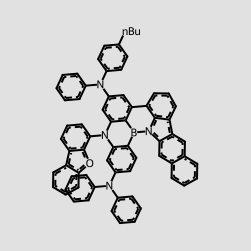 CCCCc1ccc(N(c2ccccc2)c2cc3c4c(c2)N(c2cccc5c2oc2ccccc25)c2cc(N(c5ccccc5)c5ccccc5)ccc2B4n2c4cc5ccccc5cc4c4cccc-3c42)cc1